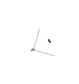 CCCCCCCCCCCCCCCCCC[N+](CC)(CCO)CCCCCCCCCCCCCCCCCC.COS(=O)(=O)[O-]